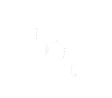 C=CCc1ccc(C(C)C=O)cc1